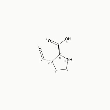 O=C[C@H]1CCN[C@@H]1C(=O)O